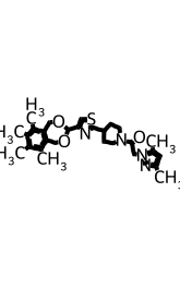 Cc1cc(C)n(CC(=O)N2CCC(c3nc(C4OCc5c(C)c(C)c(C)c(C)c5CO4)cs3)CC2)n1